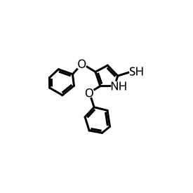 Sc1cc(Oc2ccccc2)c(Oc2ccccc2)[nH]1